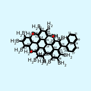 Bc1c(B)c(B)c(-c2c3c(B)c(B)c(B)c(B)c3c(-c3c(B)c(B)c(-c4cccc5ccccc45)c4c(B)c(B)c(B)c(B)c34)c3c(B)c(B)c(B)c(B)c23)c(B)c1B